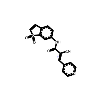 N#C/C(=C\c1ccncc1)C(=O)Nc1ccc2c(c1)S(=O)(=O)C=C2